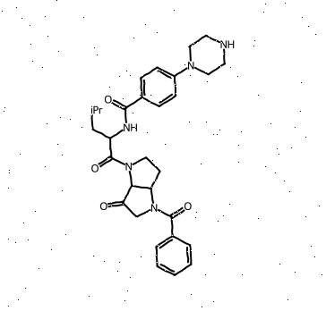 CC(C)CC(NC(=O)c1ccc(N2CCNCC2)cc1)C(=O)N1CCC2C1C(=O)CN2C(=O)c1ccccc1